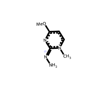 COc1ccn(C)/c(=N\N)n1